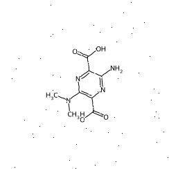 CN(C)c1nc(C(=O)O)c(N)nc1C(=O)O